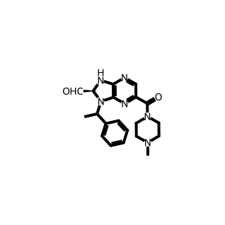 CC(c1ccccc1)N1c2nc(C(=O)N3CCN(C)CC3)cnc2N[C@@H]1C=O